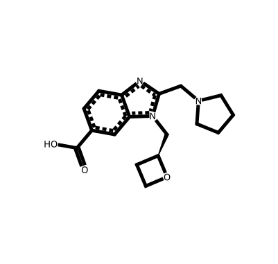 O=C(O)c1ccc2nc(CN3CCCC3)n(C[C@@H]3CCO3)c2c1